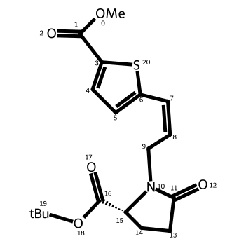 COC(=O)c1ccc(/C=C\CN2C(=O)CC[C@@H]2C(=O)OC(C)(C)C)s1